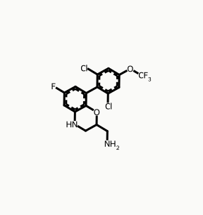 NCC1CNc2cc(F)cc(-c3c(Cl)cc(OC(F)(F)F)cc3Cl)c2O1